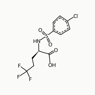 O=C(O)[C@@H](CCC(F)(F)F)NS(=O)(=O)c1ccc(Cl)cc1